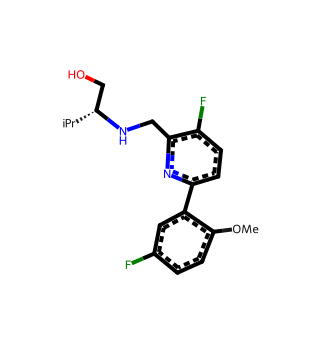 COc1ccc(F)cc1-c1ccc(F)c(CN[C@@H](CO)C(C)C)n1